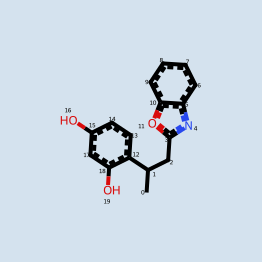 CC(Cc1nc2ccccc2o1)c1ccc(O)cc1O